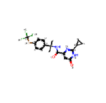 CC(C)(NC(=O)c1cc(=O)[nH]c(C2CC2)n1)c1ccc(SC(F)(F)F)cc1